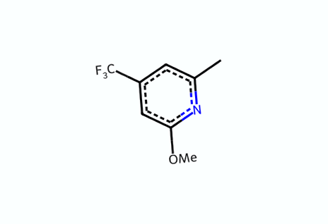 COc1cc(C(F)(F)F)cc(C)n1